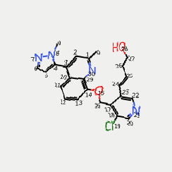 Cc1cc(-c2ccnn2C)c2cccc(OCc3c(Cl)cncc3/C=C/CCO)c2n1